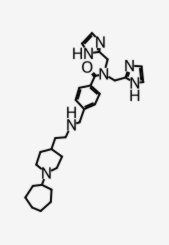 O=C(c1ccc(CNCCC2CCN(C3CCCCCC3)CC2)cc1)N(Cc1ncc[nH]1)Cc1ncc[nH]1